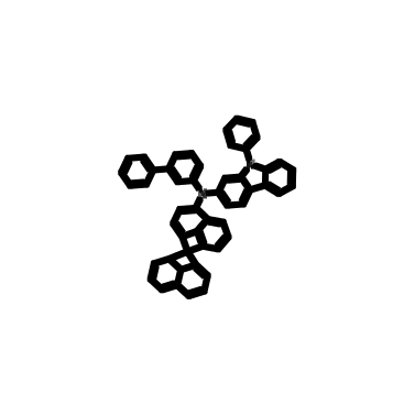 C1=CC2=CC=CC3C2C(=C1)C31c2cccc3c(N(c4cccc(-c5ccccc5)c4)c4ccc5c6ccccc6n(-c6ccccc6)c5c4)ccc1c23